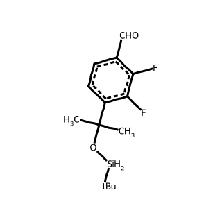 CC(C)(C)[SiH2]OC(C)(C)c1ccc(C=O)c(F)c1F